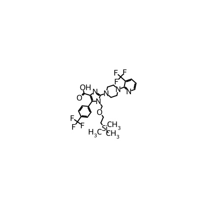 C[Si](C)(C)CCOCn1c(N2CCN(c3ncccc3C(F)(F)F)CC2)nc(C(=O)O)c1-c1ccc(C(F)(F)F)cc1